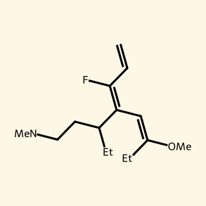 C=C/C(F)=C(\C=C(/CC)OC)C(CC)CCNC